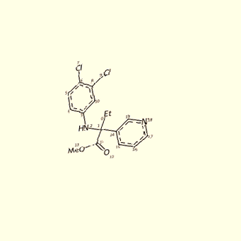 CCC(Nc1ccc(Cl)c(Cl)c1)(C(=O)OC)c1cccnc1